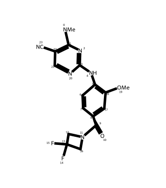 CNc1nc(Nc2ccc(C(=O)N3CC(F)(F)C3)cc2OC)ncc1C#N